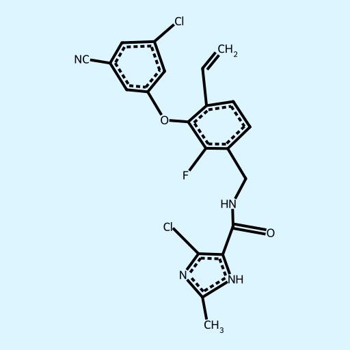 C=Cc1ccc(CNC(=O)c2[nH]c(C)nc2Cl)c(F)c1Oc1cc(Cl)cc(C#N)c1